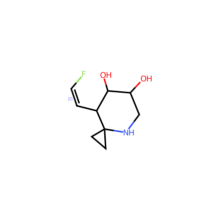 OC1CNC2(CC2)C(/C=C\F)C1O